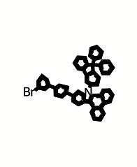 Brc1cccc(-c2ccc(-c3ccc4c5c6ccccc6c6ccccc6c5n(-c5ccc6c(c5)-c5ccccc5C6(c5ccccc5)c5ccccc5)c4c3)cc2)c1